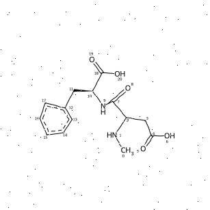 CNC(CC(=O)O)C(=O)N[C@@H](Cc1ccccc1)C(=O)O